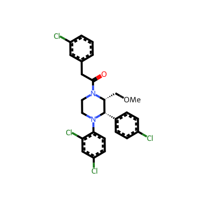 COC[C@@H]1[C@H](c2ccc(Cl)cc2)N(c2ccc(Cl)cc2Cl)CCN1C(=O)Cc1cccc(Cl)c1